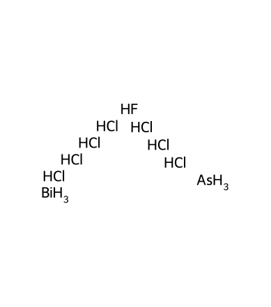 Cl.Cl.Cl.Cl.Cl.Cl.Cl.F.[AsH3].[BiH3]